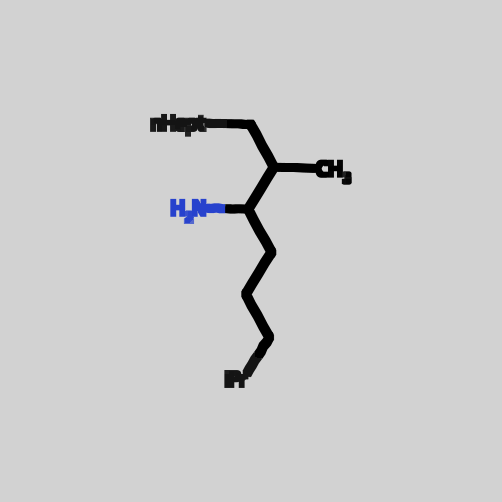 CCCCCCCCC(C)C(N)CCCC(C)C